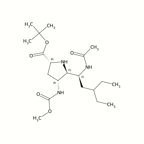 CCC(CC)C[C@H](NC(C)=O)[C@@H]1N[C@@H](C(=O)OC(C)(C)C)C[C@H]1NC(=O)OC